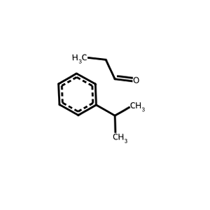 CC(C)c1ccccc1.CCC=O